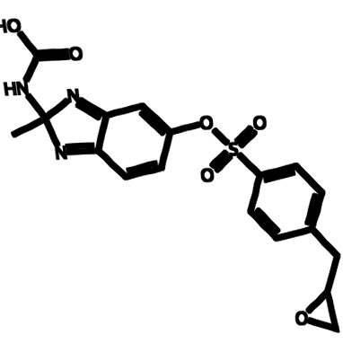 CC1(NC(=O)O)N=c2ccc(OS(=O)(=O)c3ccc(CC4CO4)cc3)cc2=N1